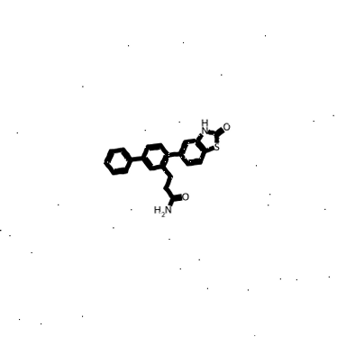 NC(=O)CCc1cc(-c2ccccc2)ccc1-c1ccc2sc(=O)[nH]c2c1